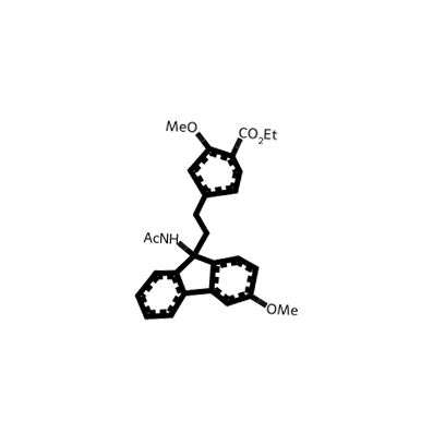 CCOC(=O)c1ccc(CCC2(NC(C)=O)c3ccccc3-c3cc(OC)ccc32)cc1OC